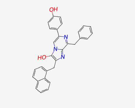 Oc1ccc(-c2cn3c(O)c(Cc4cccc5ccccc45)nc3c(Cc3ccccc3)n2)cc1